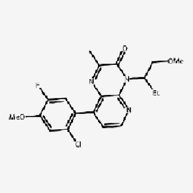 CCC(COC)n1c(=O)c(C)nc2c(-c3cc(F)c(OC)cc3Cl)ccnc21